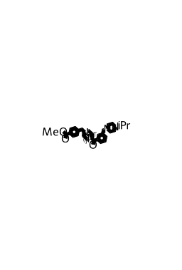 COC(=O)c1ccc(CN2C[C@@H](C)N(C(=O)c3cccc(CN4CCN(C(C)C)CC4)c3)[C@@H](C)C2)cc1